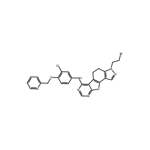 Clc1cc(Nc2ncnc3sc4c(c23)CCc2c-4cnn2CCBr)ccc1OCc1ccccn1